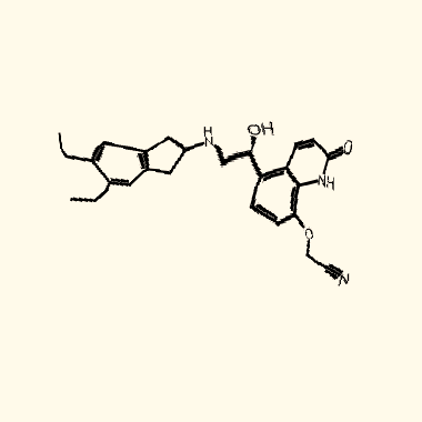 CCc1cc2c(cc1CC)CC(NC[C@@H](O)c1ccc(OCC#N)c3[nH]c(=O)ccc13)C2